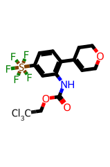 O=C(Nc1cc(S(F)(F)(F)(F)F)ccc1C1=CCOCC1)OCC(Cl)(Cl)Cl